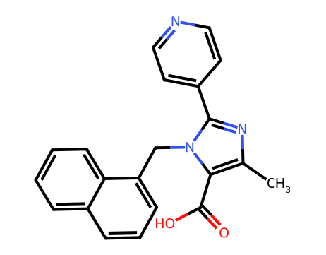 Cc1nc(-c2ccncc2)n(Cc2cccc3ccccc23)c1C(=O)O